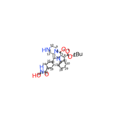 CC(C)(C)OC(=O)c1c(C(=O)N2CCNCC2)n(Cc2ccc(C(=O)NO)cc2)c2ccccc12